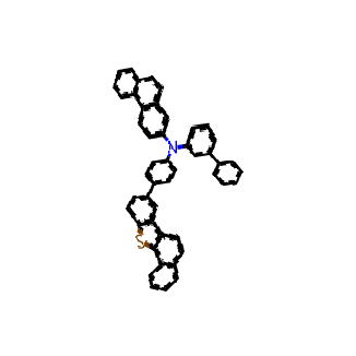 c1ccc(-c2cccc(N(c3ccc(-c4ccc5sc6c7ccccc7ccc6c5c4)cc3)c3ccc4c(ccc5ccccc54)c3)c2)cc1